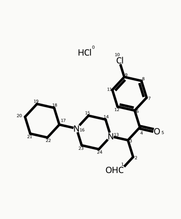 Cl.O=CCC(C(=O)c1ccc(Cl)cc1)N1CCN(C2CCCCC2)CC1